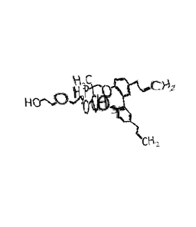 C=CCc1ccc(OCCOCCOCCO)c(-c2cc(CC=C)ccc2OCC(C)(C)P)c1